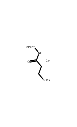 CCCCCCCCC(=O)NCCCCC.[Ca]